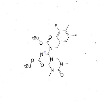 Cc1c(F)cc(CN(C(=O)OC(C)(C)C)/C(=N/C(=O)OC(C)(C)C)N2CN(C)C(=O)N(C)C2)cc1F